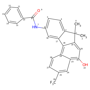 CC1(C)c2ccc(NC(=O)c3ccccc3)cc2-c2c1cc(O)c1cc(C(F)(F)F)ccc21